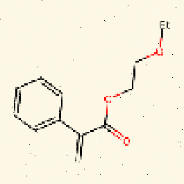 C=C(C(=O)OCCOCC)c1ccccc1